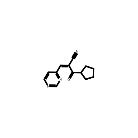 N#CC(=Cc1ccncn1)C(=O)C1CCCC1